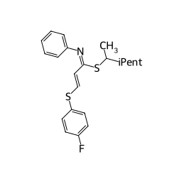 CCCC(C)C(C)SC(C=CSc1ccc(F)cc1)=Nc1ccccc1